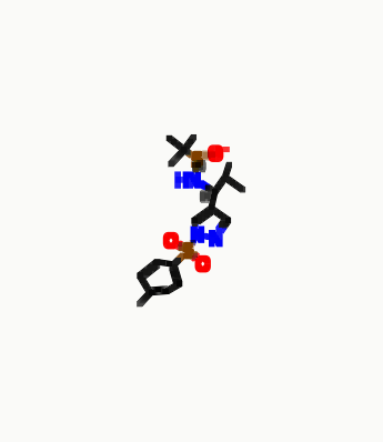 Cc1ccc(S(=O)(=O)n2cc([C@@H](N[S@+]([O-])C(C)(C)C)C(C)C)cn2)cc1